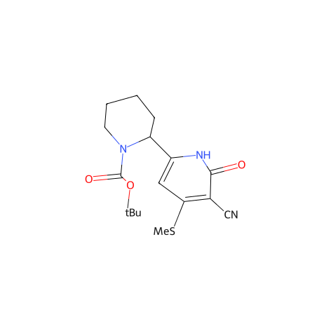 CSc1cc(C2CCCCN2C(=O)OC(C)(C)C)[nH]c(=O)c1C#N